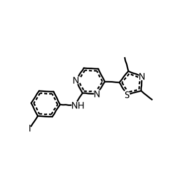 Cc1nc(C)c(-c2ccnc(Nc3cccc(I)c3)n2)s1